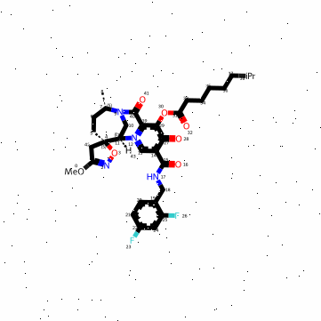 COC1=NO[C@@]2(CC[C@H](C)N3C[C@H]2n2cc(C(=O)NCc4ccc(F)cc4F)c(=O)c(OC(=O)CCCCCC(C)C)c2C3=O)C1